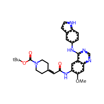 COc1cc2ncnc(Nc3ccc4[nH]ccc4c3)c2cc1NC(=O)C=C1CCN(C(=O)OC(C)(C)C)CC1